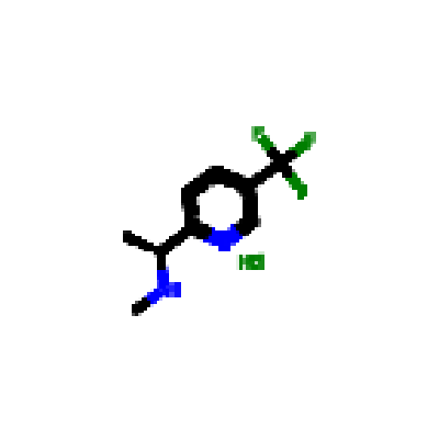 CN[C@@H](C)c1ccc(C(F)(F)F)cn1.Cl